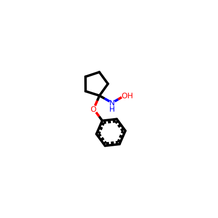 ONC1(Oc2ccccc2)CCCC1